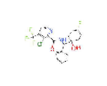 O=C(NC(c1ccccc1)[C@]1(O)CC[C@H](F)CC1)c1nccc(C(F)(F)F)c1Cl